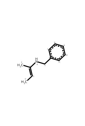 CC=C(C)NCc1ccccc1